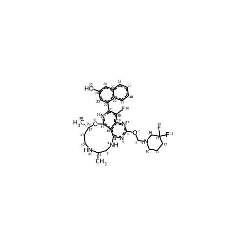 CC1CNc2nc(OCN3CCCC(F)(F)C3)nc3c(F)c(-c4cc(O)cc5ccccc45)nc(c23)O[C@@H](C)CCN1